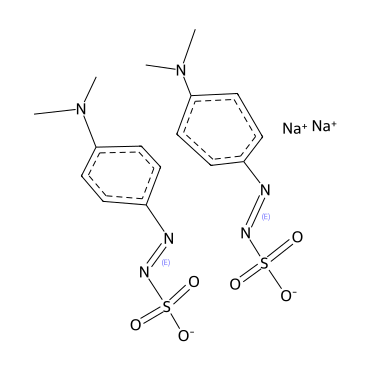 CN(C)c1ccc(/N=N/S(=O)(=O)[O-])cc1.CN(C)c1ccc(/N=N/S(=O)(=O)[O-])cc1.[Na+].[Na+]